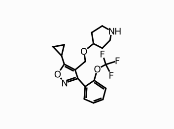 FC(F)(F)Oc1ccccc1-c1noc(C2CC2)c1COC1CCNCC1